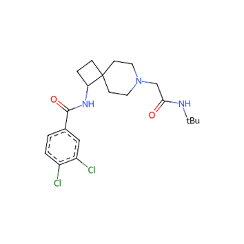 CC(C)(C)NC(=O)CN1CCC2(CCC2NC(=O)c2ccc(Cl)c(Cl)c2)CC1